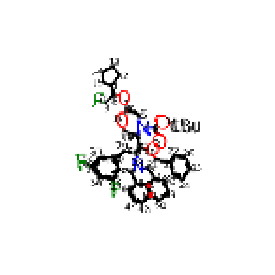 CC(C)(C)OC(=O)N1C[C@@H](OC(CF)C2CCCC2)OC[C@@H]1[C@@H](OCc1ccccc1)[C@H](Cc1cc(F)cc(F)c1)N(Cc1ccccc1)Cc1ccccc1